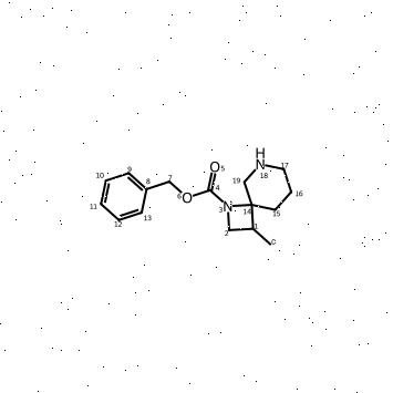 CC1CN(C(=O)OCc2ccccc2)C12CCCNC2